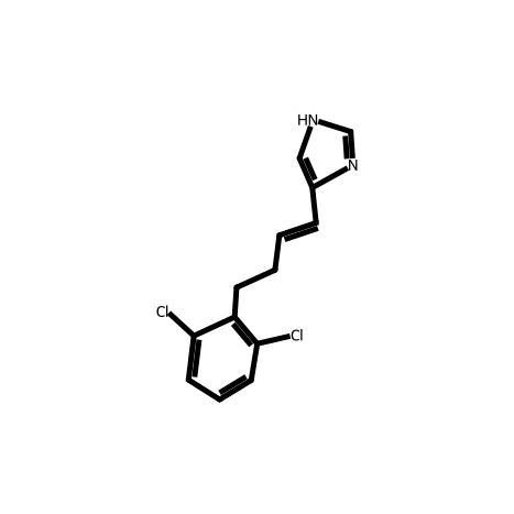 Clc1cccc(Cl)c1CCC=Cc1c[nH]cn1